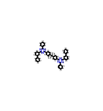 CCC(CC)(c1ccc(-c2nc(-c3ccccc3)nc(-c3cccc(-c4ccccc4)c3)n2)cc1)c1ccc(-c2nc(-c3ccccc3)nc(-c3cccc(-c4ccccc4)c3)n2)cc1